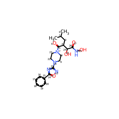 CC(C)CC(C(=O)N1CCN(c2noc(-c3ccccc3)n2)CC1)C(O)C(=O)NO